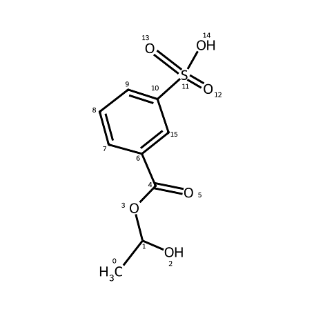 CC(O)OC(=O)c1cccc(S(=O)(=O)O)c1